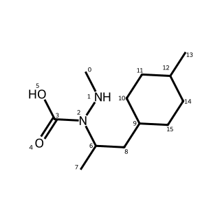 CNN(C(=O)O)C(C)CC1CCC(C)CC1